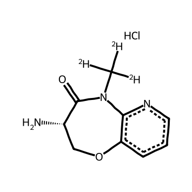 Cl.[2H]C([2H])([2H])N1C(=O)[C@@H](N)COc2cccnc21